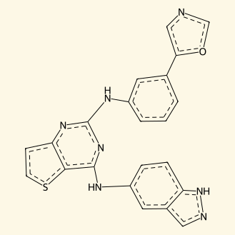 c1cc(Nc2nc(Nc3ccc4[nH]ncc4c3)c3sccc3n2)cc(-c2cnco2)c1